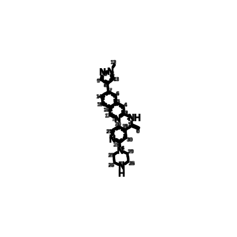 C=C(Nc1cc2cc(-c3cnn(C)c3)ccc2cn1)c1ccnc(N2CCNCC2)c1